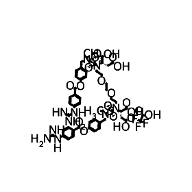 CN(Cc1ccc(OC(=O)c2ccc(NC(=N)N)cc2)cc1)S(=O)(=O)N(CCOCCOCCN([C@@H](CC(=O)O)C(=O)O)S(=O)(=O)N(C)Cc1ccc(OC(=O)c2ccc(NC(=N)N)cc2)cc1)[C@@H](CC(=O)O)C(=O)O.O=C(O)C(F)(F)F